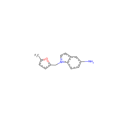 Nc1ccc2c(ccn2Cc2ccc(C(F)(F)F)o2)c1